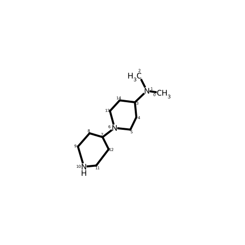 CN(C)C1CCN(C2CCNCC2)CC1